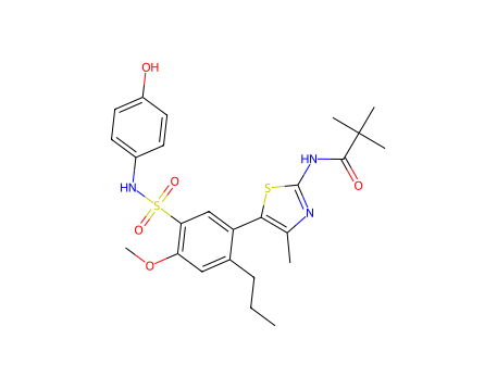 CCCc1cc(OC)c(S(=O)(=O)Nc2ccc(O)cc2)cc1-c1sc(NC(=O)C(C)(C)C)nc1C